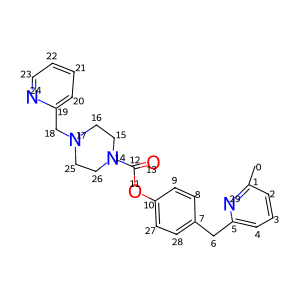 Cc1cccc(Cc2ccc(OC(=O)N3CCN(Cc4ccccn4)CC3)cc2)n1